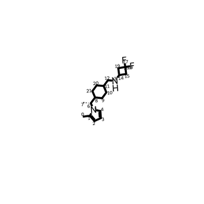 Cc1cccn1[C@H](C)C1CCC(CNC2CC(F)(F)C2)CC1